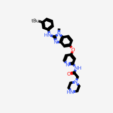 Cn1c(Nc2cccc(C(C)(C)C)c2)nc2cc(Oc3ccnc(NC(=O)CN4CCNCC4)c3)ccc21